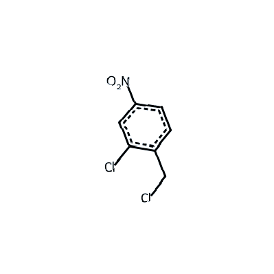 O=[N+]([O-])c1ccc(CCl)c(Cl)c1